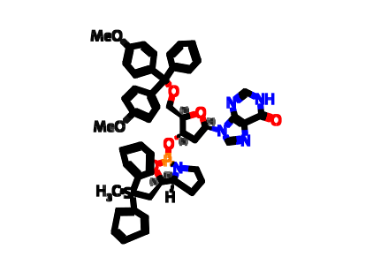 COc1ccc(C(OC[C@H]2O[C@@H](n3cnc4c(=O)[nH]cnc43)C[C@@H]2OP2O[C@H](C[Si](C)(c3ccccc3)c3ccccc3)[C@@H]3CCCN32)(c2ccccc2)c2ccc(OC)cc2)cc1